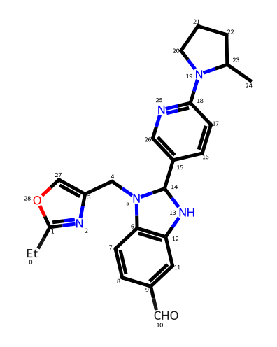 CCc1nc(CN2c3ccc(C=O)cc3NC2c2ccc(N3CCCC3C)nc2)co1